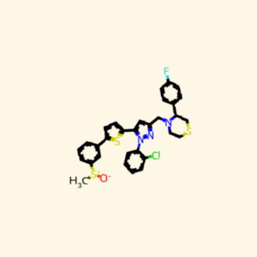 C[S+]([O-])c1cccc(-c2ccc(-c3cc(CN4CCSCC4c4ccc(F)cc4)nn3-c3ccccc3Cl)s2)c1